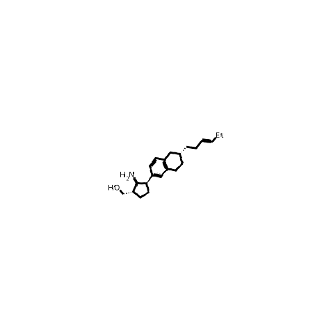 CC/C=C/CC[C@@H]1CCc2cc([C@H]3CC[C@H](CO)C3N)ccc2C1